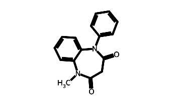 CN1C(=O)CC(=O)N(c2ccccc2)c2ccccc21